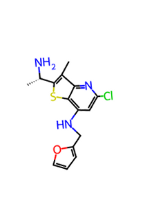 Cc1c([C@H](C)N)sc2c(NCc3ccco3)cc(Cl)nc12